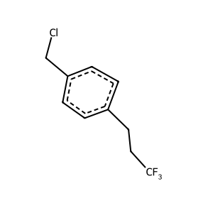 FC(F)(F)CCc1ccc(CCl)cc1